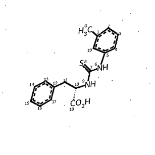 Cc1cccc(NC(=S)N[C@@H](Cc2ccccc2)C(=O)O)c1